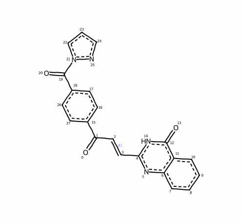 O=C(/C=C/c1nc2ccccc2c(=O)[nH]1)c1ccc(C(=O)n2cccn2)cc1